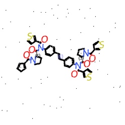 O=C(c1ccsc1)N(C(=O)[C@@H]1CCCN1C(=O)C1=CCC=C1)c1ccc(/C=C/c2ccc(N(C(=O)c3ccsc3)C(=O)[C@@H]3CCCN3C(=O)c3ccsc3)cc2)cc1